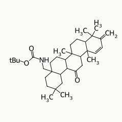 C=C1C=CC2(C)C(CCC3(C)C4CCC5(CNC(=O)OC(C)(C)C)CCC(C)(C)CC5C4C(=O)CC23)C1(C)C